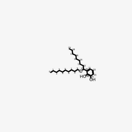 CCCCCCCCCCOC(CCCCCCCC)c1cccc(O)c1O